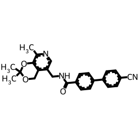 Cc1ncc(CNC(=O)c2ccc(-c3ccc(C#N)cc3)cc2)c2c1OC(C)(C)OC2